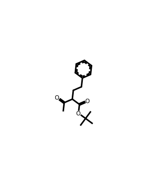 CC(=O)C(CCc1ccccc1)C(=O)OC(C)(C)C